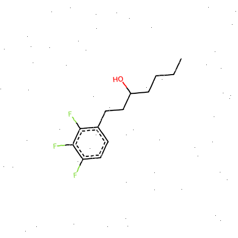 CCCCC(O)CCc1ccc(F)c(F)c1F